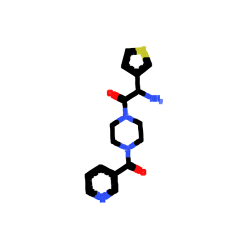 NC(C(=O)N1CCN(C(=O)c2cccnc2)CC1)c1ccsc1